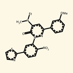 CCN(C)c1cc(-c2cccc(OC)c2)nn(-c2cc(-c3nccs3)ccc2[N+](=O)[O-])c1=O